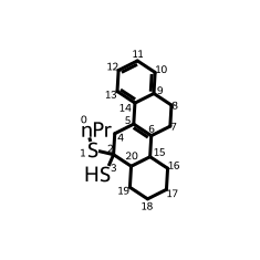 CCCSC1(S)CC2=C(CCc3ccccc32)C2CCCCC21